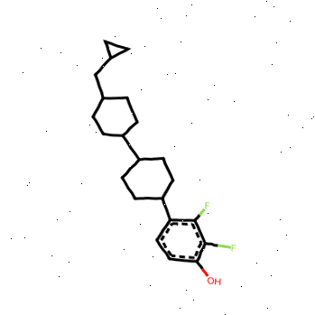 Oc1ccc(C2CCC(C3CCC(CC4CC4)CC3)CC2)c(F)c1F